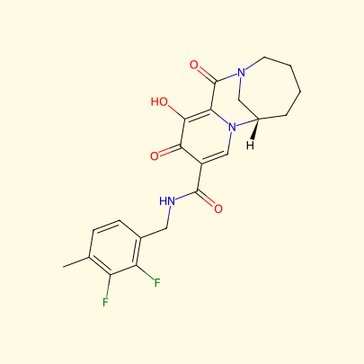 Cc1ccc(CNC(=O)c2cn3c(c(O)c2=O)C(=O)N2CCCC[C@H]3C2)c(F)c1F